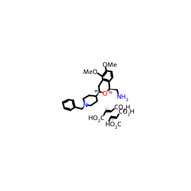 COc1ccc2c(c1OC)C[C@H](C1CCN(Cc3ccccc3)CC1)O[C@@H]2CN.O=C(O)/C=C/C(=O)O.O=C(O)/C=C/C(=O)O